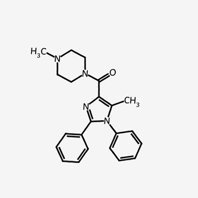 Cc1c(C(=O)N2CCN(C)CC2)nc(-c2ccccc2)n1-c1ccccc1